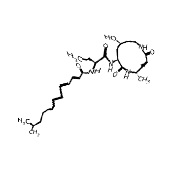 CC[C@H](NC(=O)/C=C/C=C/CCCCCC(C)C)C(=O)N[C@H]1C[C@@H](O)CCNC(=O)/C=C/[C@H](C)NC1=O